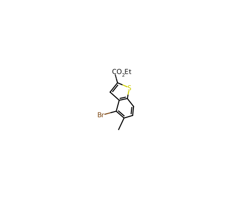 CCOC(=O)c1cc2c(Br)c(C)ccc2s1